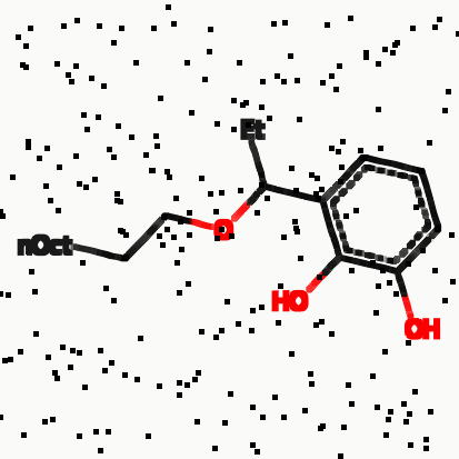 CCCCCCCCCCOC(CC)c1cccc(O)c1O